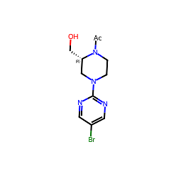 CC(=O)N1CCN(c2ncc(Br)cn2)C[C@@H]1CO